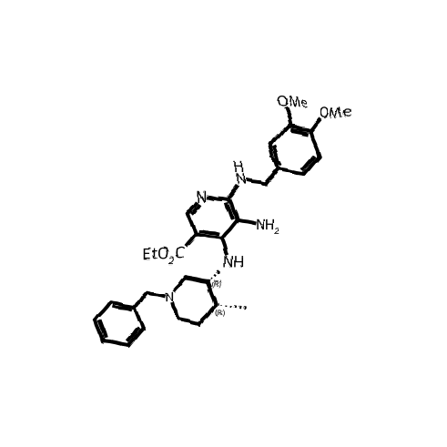 CCOC(=O)c1cnc(NCc2ccc(OC)c(OC)c2)c(N)c1N[C@H]1CN(Cc2ccccc2)CC[C@H]1C